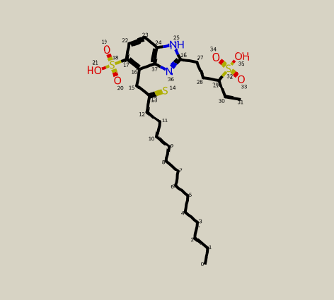 CCCCCCCCCCCCCC(=S)Cc1c(S(=O)(=O)O)ccc2[nH]c(CCC(CC)S(=O)(=O)O)nc12